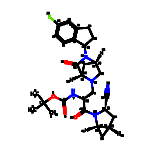 CC(C)(C)OC(=O)N[C@@H](CN1C[C@@H]2C[C@H]1C(=O)N2[C@H]1CCc2cc(F)ccc21)C(=O)N1[C@H](C#N)C[C@@H]2C[C@@H]21